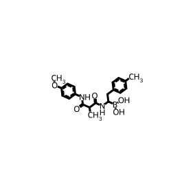 COc1ccc(NC(=O)C(C)C(=O)NC(Cc2ccc(C)cc2)B(O)O)cc1